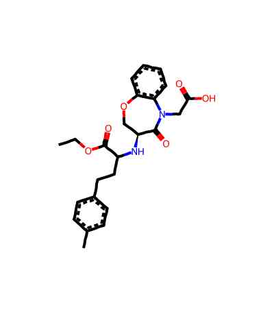 CCOC(=O)C(CCc1ccc(C)cc1)N[C@H]1COc2ccccc2N(CC(=O)O)C1=O